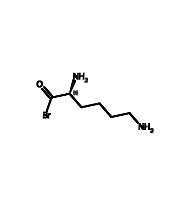 NCCCC[C@H](N)C(=O)Br